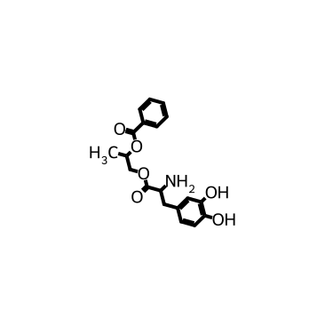 CC(COC(=O)C(N)Cc1ccc(O)c(O)c1)OC(=O)c1ccccc1